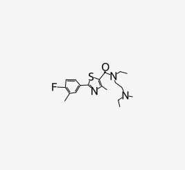 CCN(C)CCN(CC)C(=O)c1sc(-c2ccc(F)c(C)c2)nc1C